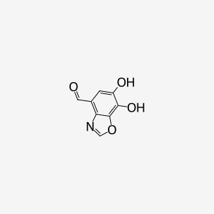 O=Cc1cc(O)c(O)c2ocnc12